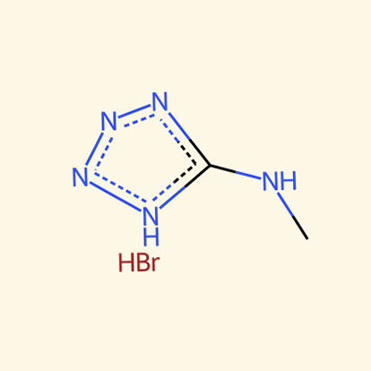 Br.CNc1nnn[nH]1